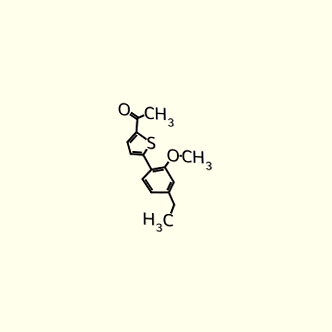 CCc1ccc(-c2ccc(C(C)=O)s2)c(OC)c1